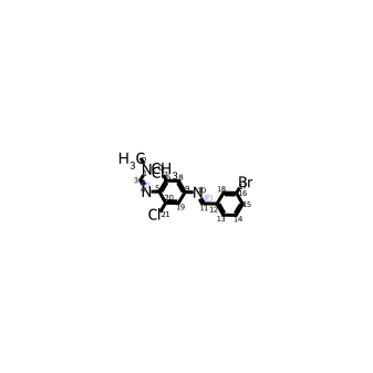 CN(C)/C=N\c1c(Cl)cc(/N=C/c2cccc(Br)c2)cc1Cl